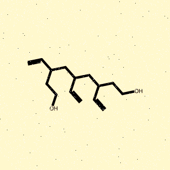 C=CC(CCO)CC(C=C)CC(C=C)CCO